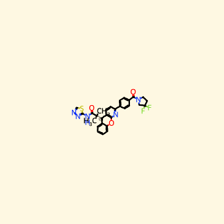 CC(C)(C(=O)Nc1nncs1)[C@H]1c2ccccc2Oc2nc(-c3ccc(C(=O)N4CCC(F)(F)C4)cc3)ccc21